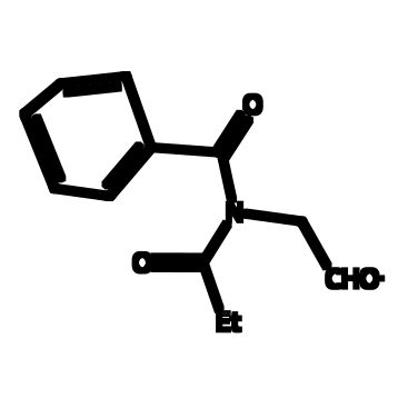 CCC(=O)N(C[C]=O)C(=O)c1ccccc1